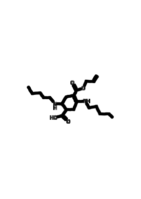 C=CCOC(=O)C1=C(NCCCCC)CC(C(=O)O)C(NCCCCC)C1